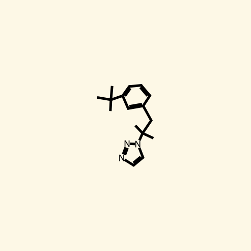 CC(C)(C)c1cccc(CC(C)(C)n2ccnn2)c1